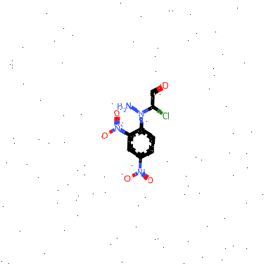 NN(c1ccc([N+](=O)[O-])cc1[N+](=O)[O-])C(Cl)C=O